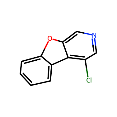 Clc1cncc2oc3ccccc3c12